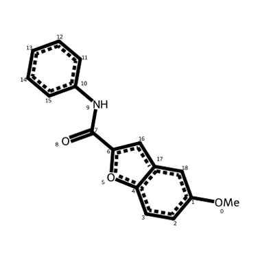 COc1ccc2oc(C(=O)Nc3ccccc3)cc2c1